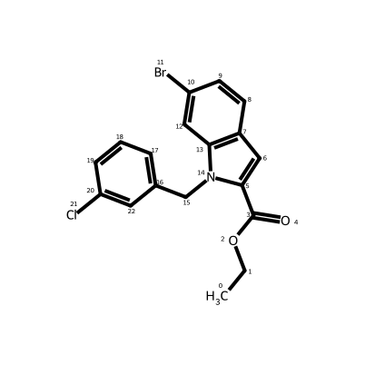 CCOC(=O)c1cc2ccc(Br)cc2n1Cc1cccc(Cl)c1